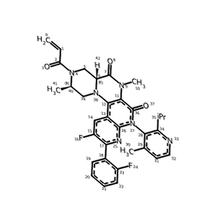 C=CC(=O)N1C[C@@H]2C(=O)N(C)c3c(c4cc(F)c(-c5ccccc5F)nc4n(-c4c(C)ccnc4C(C)C)c3=O)N2C[C@H]1C